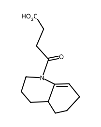 O=C(O)CCC(=O)N1CCCC2CCCC=C21